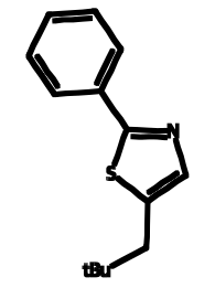 CC(C)(C)Cc1cnc(-c2ccccc2)s1